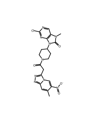 Cc1cc2nnc(CC(=O)N3CCC(n4c(=O)n(C)c5cnc(Cl)nc54)CC3)n2cc1[N+](=O)[O-]